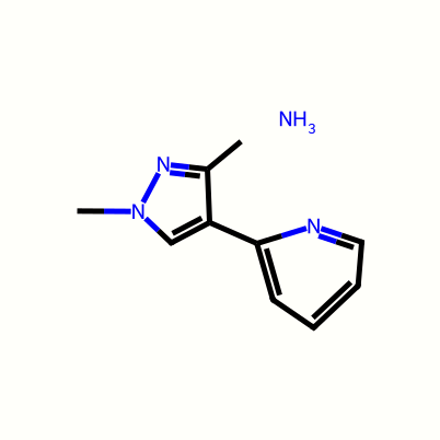 Cc1nn(C)cc1-c1ccccn1.N